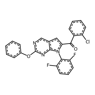 O=C(c1ccccc1Cl)c1cc2cnc(Oc3ccccc3)nc2n1-c1c(F)cccc1F